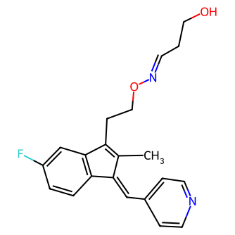 CC1=C(CCON=CCCO)c2cc(F)ccc2C1=Cc1ccncc1